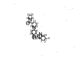 Cc1ccc2[nH]c(-c3cc(N4CCC[C@@H](C(=O)N5CCCC5)C4)ccc3Cl)nc2c1